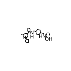 Cc1cc(C(=O)NCC2CCC(CNC(=O)O)CC2)cc(Cl)n1